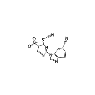 N#CSC1N=C(n2cnc3ccc(C#N)cc32)N=CC1[N+](=O)[O-]